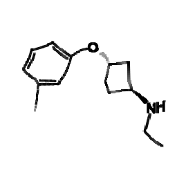 CCN[C@H]1C[C@H](Oc2cccc(C)c2)C1